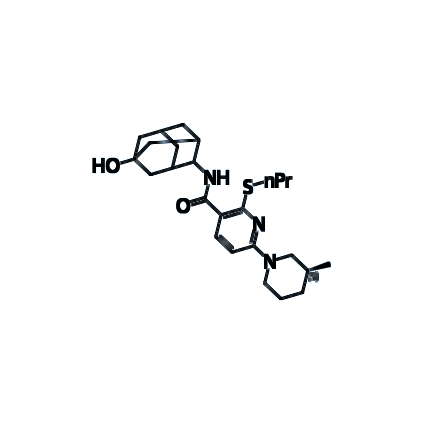 CCCSc1nc(N2CCC[C@H](C)C2)ccc1C(=O)NC1C2CC3CC1CC(O)(C3)C2